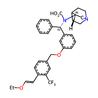 CCOC=Cc1ccc(COc2cccc([C@H](c3ccccc3)N(C(=O)O)[C@H]3CN4CCC3CC4)c2)cc1C(F)(F)F